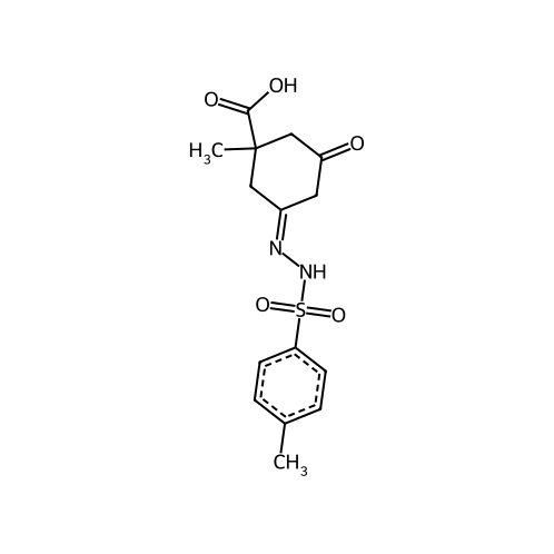 Cc1ccc(S(=O)(=O)NN=C2CC(=O)CC(C)(C(=O)O)C2)cc1